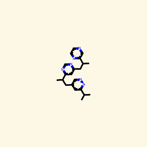 CC(C)c1cc(CC(C)c2cc(CC(C)c3cnccn3)ncn2)cnn1